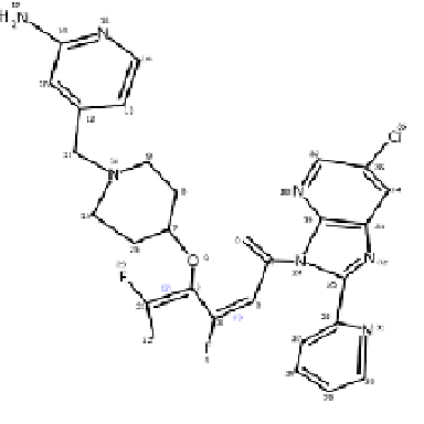 C=C(/C=C(F)\C(OC1CCN(Cc2ccnc(N)c2)CC1)=C(/C)F)n1c(-c2ccccn2)nc2cc(Cl)cnc21